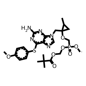 [CH2]OP(=O)(COC1(Cn2cnc3c(Sc4ccc(OC)cc4)nc(N)nc32)CC1C)OCOC(=O)C(C)(C)C